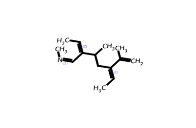 C=C(C)/C(=C/C)CC(C)C(/C=N\C)=C/C